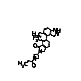 C=CC(=O)N1CC(N2Cc3ccc(-c4c(C)ccc5[nH]ncc45)c(C(F)(F)F)c3C2=O)C1